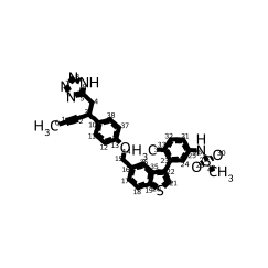 CC#CC(Cc1nnn[nH]1)c1ccc(OCc2ccc3scc(-c4cc(NS(C)(=O)=O)ccc4C)c3c2)cc1